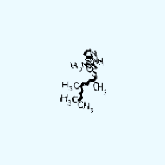 CC(C)=CCCC(C)=CCCC(C)=CSCC(Nc1ccccn1)S(N)(=O)=O